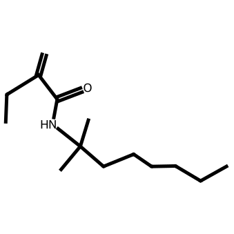 C=C(CC)C(=O)NC(C)(C)CCCCCC